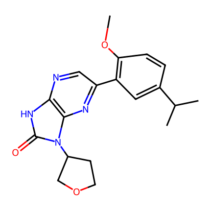 COc1ccc(C(C)C)cc1-c1cnc2[nH]c(=O)n(C3CCOC3)c2n1